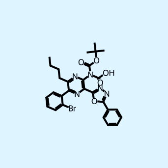 CCCCc1nc(N(C(=O)O)C(=O)OC(C)(C)C)c(-c2nnc(-c3ccccc3)o2)nc1-c1ccccc1Br